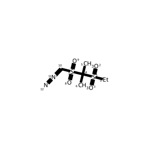 CCS(=O)(=O)C(C)(C)S(=O)(=O)C=[N+]=[N-]